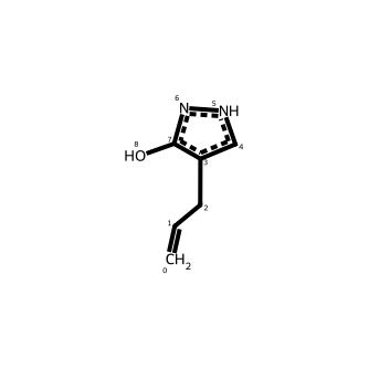 C=CCc1c[nH]nc1O